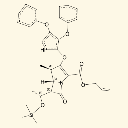 C=CCOC(=O)C1=C(Oc2[pH]cc(Oc3ccccc3)c2Oc2ccccc2)[C@H](C)[C@H]2[C@@H]([C@@H](C)O[Si](C)(C)C)C(=O)N12